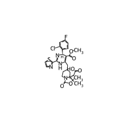 COC(=O)C1=C(CC2CCN3C(=O)OC(C)(C)[C@@]3(CC(=O)O)C2)NC(c2nccs2)=N[C@H]1c1ccc(F)cc1Cl